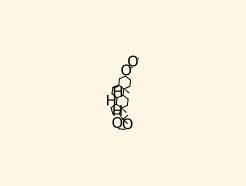 COCO[C@H]1CC[C@@]2(C)C(=CC[C@H]3[C@@H]4CC[C@H](C5(C)OCCO5)[C@@]4(C)CC[C@@H]32)C1